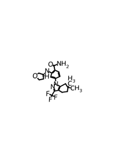 CC1(C)CCc2c(C(F)(F)F)nn(-c3ccc(C(N)=O)c(N[C@H]4CCOC4)c3)c2C1